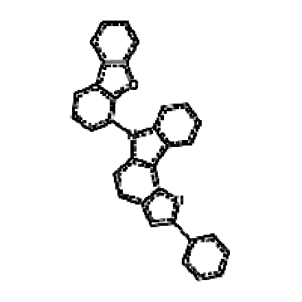 c1ccc(-c2cc3ccc4c(c5ccccc5n4-c4cccc5c4oc4ccccc45)c3o2)cc1